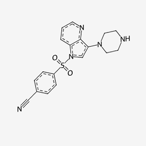 N#Cc1ccc(S(=O)(=O)n2cc(N3CCNCC3)c3ncccc32)cc1